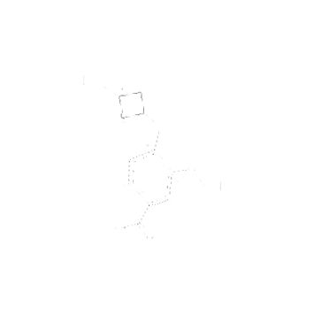 COc1cc(C(=O)O)ccc1OC1CC(O)C1